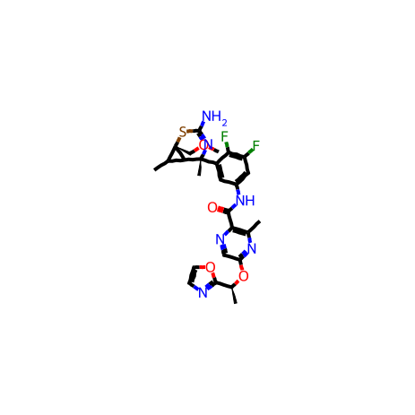 COC[C@@]12SC(N)=N[C@](C)(c3cc(NC(=O)c4ncc(O[C@@H](C)c5ncco5)nc4C)cc(F)c3F)C1C2C